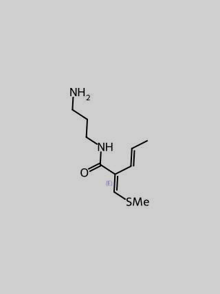 CC=C/C(=C\SC)C(=O)NCCCN